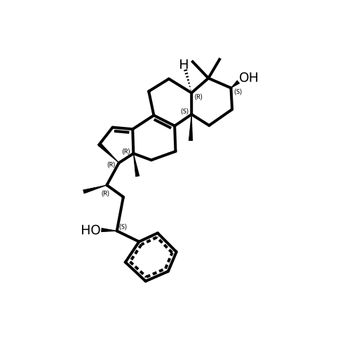 C[C@H](C[C@H](O)c1ccccc1)[C@H]1CC=C2C3=C(CC[C@@]21C)[C@@]1(C)CC[C@H](O)C(C)(C)[C@@H]1CC3